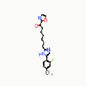 O=C(CCCCCCc1ncc(-c2ccc(C(F)(F)F)cc2F)[nH]1)c1ncco1